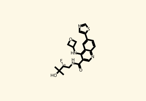 CC(C)(O)[C@H](F)CNC(=O)c1cnc2ccc(-c3cncs3)cc2c1NC1COC1